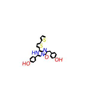 O=c1c(Cc2ccc(O)cc2)nc2c(-c3ccc(-c4cccs4)s3)[nH]c(-c3ccc(O)cc3)cn1-2